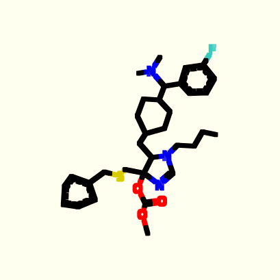 CCCCN1C=NC(CSCc2ccccc2)(OC(=O)OC)C1CC1CCC(C(c2cccc(F)c2)N(C)C)CC1